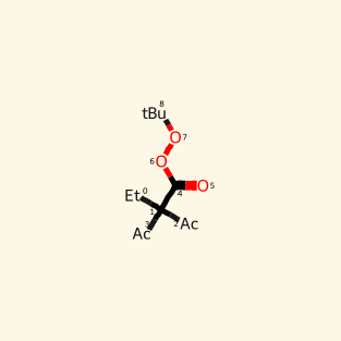 CCC(C(C)=O)(C(C)=O)C(=O)OOC(C)(C)C